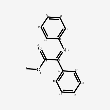 COC(=O)C(=Nc1ccccc1)c1ccccc1